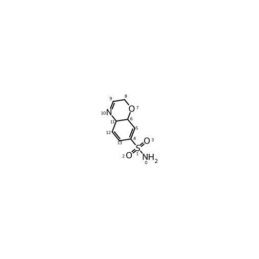 NS(=O)(=O)C1=CC2OCC=NC2C=C1